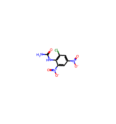 NC(=O)Nc1c(Cl)cc([N+](=O)[O-])cc1[N+](=O)[O-]